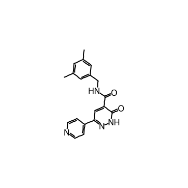 Cc1cc(C)cc(CNC(=O)c2cc(-c3ccncc3)n[nH]c2=O)c1